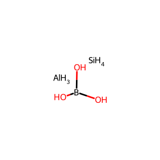 OB(O)O.[AlH3].[SiH4]